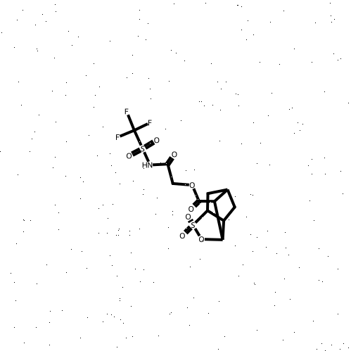 O=C(COC(=O)C1C2CC3C1OS(=O)(=O)C3C2)NS(=O)(=O)C(F)(F)F